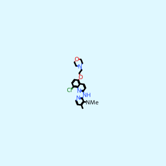 CNc1c(C)ccnc1Nc1ccc2c(OCCN3CCOCC3)ccc(Cl)c2n1